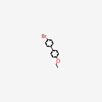 CCOc1ccc(-c2ccc(Br)cc2)cc1